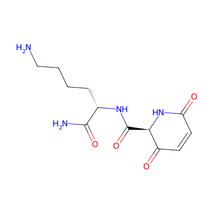 NCCCC[C@H](NC(=O)[C@H]1NC(=O)C=CC1=O)C(N)=O